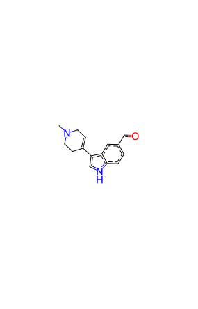 CN1CC=C(c2c[nH]c3ccc(C=O)cc23)CC1